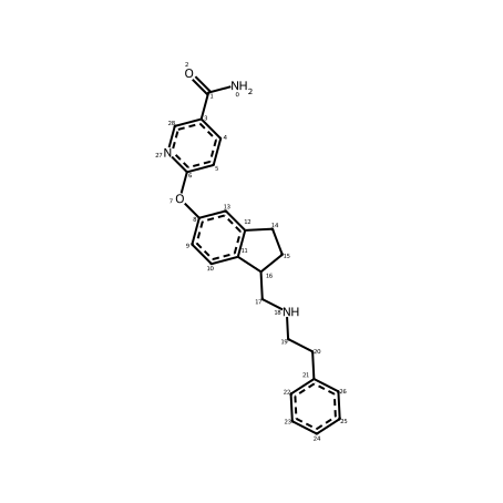 NC(=O)c1ccc(Oc2ccc3c(c2)CCC3CNCCc2ccccc2)nc1